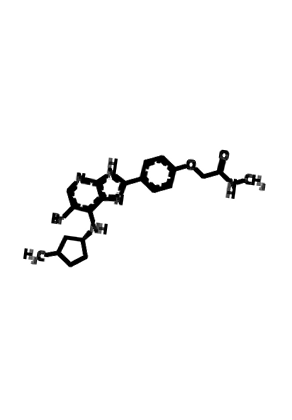 CNC(=O)COc1ccc(-c2nc3c(N[C@H]4CCC(C)C4)c(Br)cnc3[nH]2)cc1